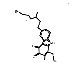 CC(=O)CC1=C(C)C(=O)C(=O)c2c1[nH]c1ccc(CCC(C)CCCC(C)C)cc21